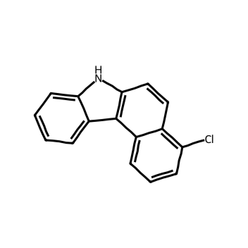 Clc1cccc2c1ccc1[nH]c3ccccc3c12